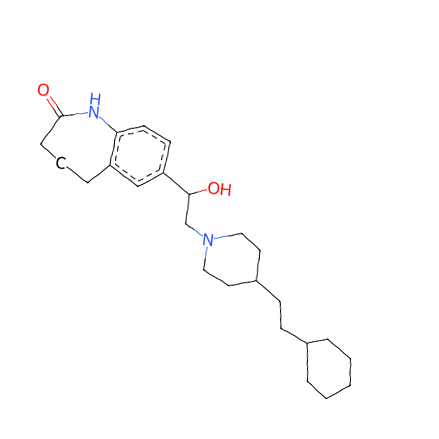 O=C1CCCc2cc(C(O)CN3CCC(CCC4CCCCC4)CC3)ccc2N1